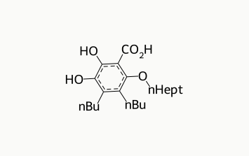 CCCCCCCOc1c(CCCC)c(CCCC)c(O)c(O)c1C(=O)O